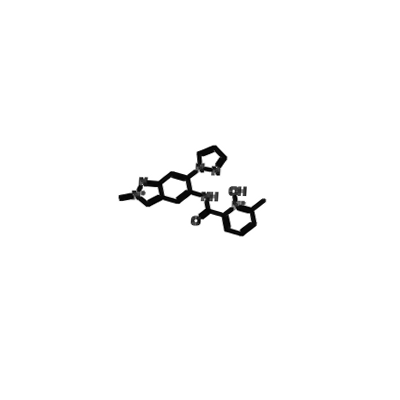 C=[N+]1C=c2cc(NC(=O)c3cccc(C)[n+]3O)c(-n3cccn3)cc2=N1